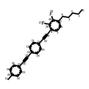 CCCCCc1ccc(C#Cc2ccc(C#Cc3ccc(C)cc3)cc2)c(F)c1F